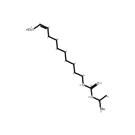 CCCCCCCC/C=C\CCCCCCCCOC(=O)OC(C)C(C)(C)C